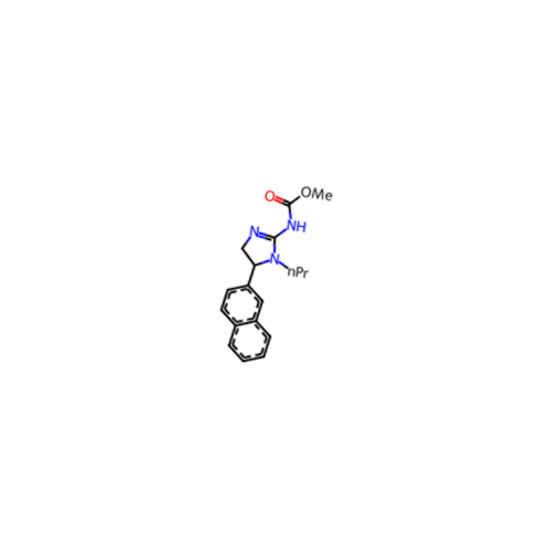 CCCN1C(NC(=O)OC)=NCC1c1ccc2ccccc2c1